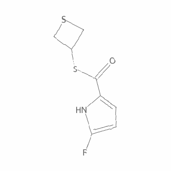 O=C(SC1CSC1)c1ccc(F)[nH]1